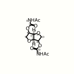 CC(=O)NC(=O)OC1CO[C@@H]2C(OC(=O)NC(C)=O)CO[C@H]12